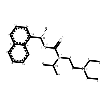 CCN(CC)CCN(C(=O)N[C@@H](C)c1cccc2ccccc12)C(C)C